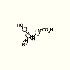 O=C(O)CN1CCC(n2ncc3c(N4CCOCC4)nc(-c4ccc(O)cc4)nc32)CC1